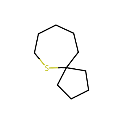 C1CCSC2(CC1)CCCC2